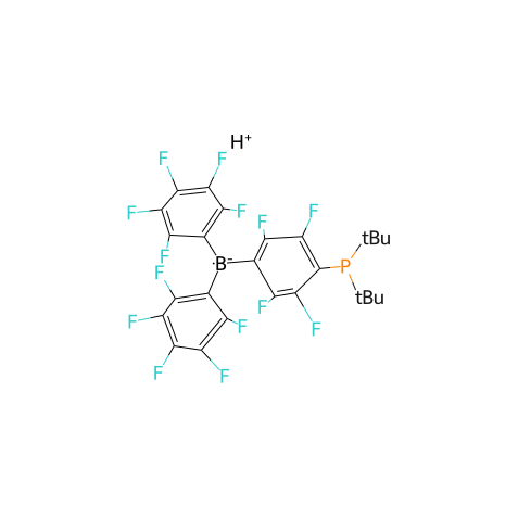 CC(C)(C)P(c1c(F)c(F)c([B-](c2c(F)c(F)c(F)c(F)c2F)c2c(F)c(F)c(F)c(F)c2F)c(F)c1F)C(C)(C)C.[H+]